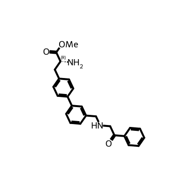 COC(=O)[C@H](N)Cc1ccc(-c2cccc(CNCC(=O)c3ccccc3)c2)cc1